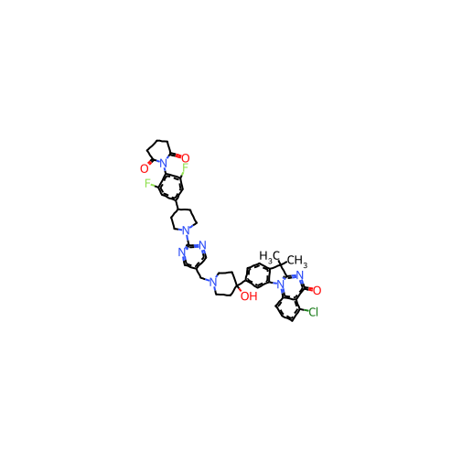 CC1(C)c2ccc(C3(O)CCN(Cc4cnc(N5CCC(c6cc(F)c(N7C(=O)CCCC7=O)c(F)c6)CC5)nc4)CC3)cc2-n2c1nc(=O)c1c(Cl)cccc12